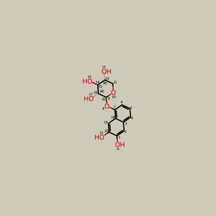 Oc1cc2cccc(O[C@@H]3OC[C@@H](O)[C@H](O)[C@H]3O)c2cc1O